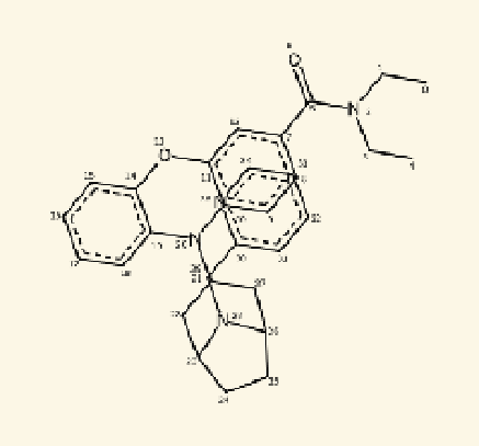 CCN(CC)C(=O)c1ccc2c(c1)Oc1ccccc1N2C1CC2CCC(C1)N2Cc1ccccn1